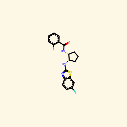 O=C(N[C@@H]1CCC[C@@H]1Nc1nc2ccc(F)cc2s1)c1ccccc1F